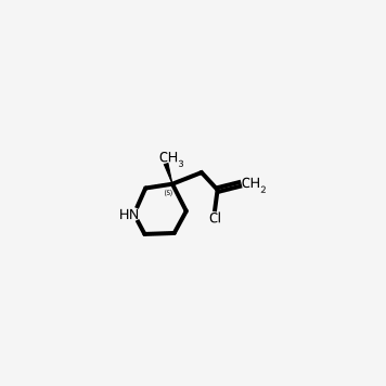 C=C(Cl)C[C@]1(C)CCCNC1